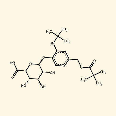 CC(C)(C)Nc1cc(COC(=O)C(C)(C)C)ccc1O[C@@H]1O[C@H](C(=O)O)[C@@H](O)[C@H](O)[C@H]1O